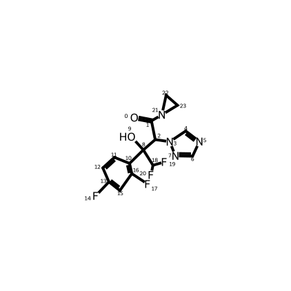 O=C(C(n1cncn1)C(O)(c1ccc(F)cc1F)C(F)F)N1CC1